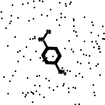 CCPc1ccc(N)cc1